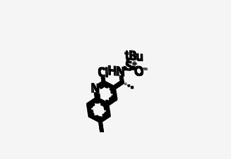 Cc1ccc2nc(Cl)c([C@@H](C)N[S@+]([O-])C(C)(C)C)cc2c1